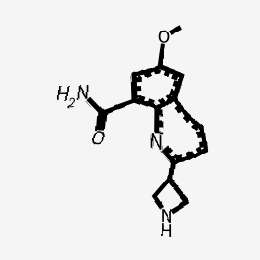 COc1cc(C(N)=O)c2nc(C3CNC3)ccc2c1